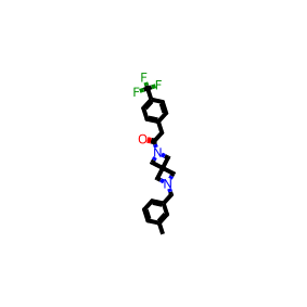 Cc1cccc(CN2CC3(C2)CN(C(=O)Cc2ccc(C(F)(F)F)cc2)C3)c1